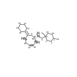 CC1CCC(C)(CN[C@H]2CC(C3CCCCC3)NCC#CN2)CC1